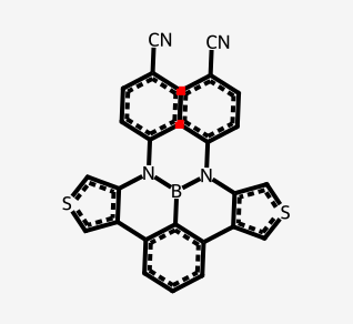 N#Cc1ccc(N2B3c4c(cccc4-c4cscc4N3c3ccc(C#N)cc3)-c3cscc32)cc1